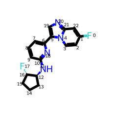 Fc1ccn2c(-c3cccc(N[C@H]4CCC[C@@H]4F)n3)cnc2c1